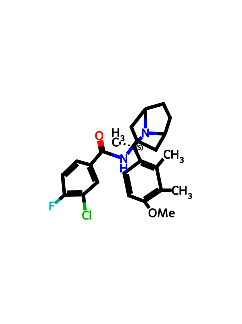 COc1ccc([C@H](C)N2C3CCC2CC(NC(=O)c2ccc(F)c(Cl)c2)C3)c(C)c1C